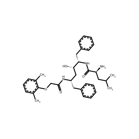 Cc1cccc(C)c1OCC(=O)N[C@@H](Cc1ccccc1)C[C@H](O)[C@H](Cc1ccccc1)NC(=O)[C@@H](N)CC(C)C